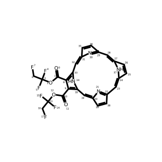 O=C(OC(F)(F)CF)c1c(C(=O)OC(F)(F)CF)c2cc3nc(cc4ccc(cc5nc(cc1[nH]2)C=C5)[nH]4)C=C3